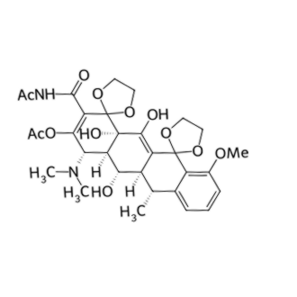 COc1cccc2c1C1(OCCO1)C1=C(O)[C@@]3(O)[C@@H]([C@@H](O)[C@@H]1[C@H]2C)[C@H](N(C)C)C(OC(C)=O)=C(C(=O)NC(C)=O)C31OCCO1